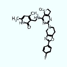 Cc1cc(C)c(CNc2nc(N3CCc4oc(-c5ccc(F)cc5)nc4C3)nc3c2[S@+]([O-])CC3)c(=O)[nH]1